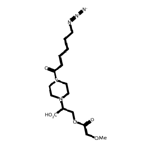 COCC(=O)OCC(C(=O)O)N1CCN(C(=O)CCCCCN=[N+]=[N-])CC1